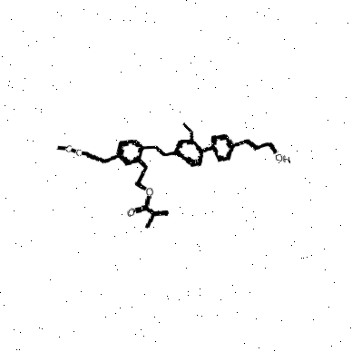 C=C(C)C(=O)OCCc1cc(CCCCC)ccc1CCc1ccc(-c2ccc(CCCO)cc2)c(CC)c1